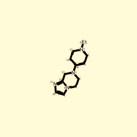 CCN1CCC(N2CCn3ccnc3C2)CC1